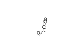 C=C(CCC(C)=O)c1ccc(N2CCOCC2)cc1